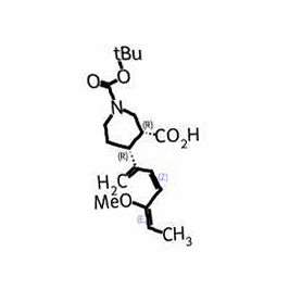 C=C(/C=C\C(=C/C)OC)[C@@H]1CCN(C(=O)OC(C)(C)C)C[C@@H]1C(=O)O